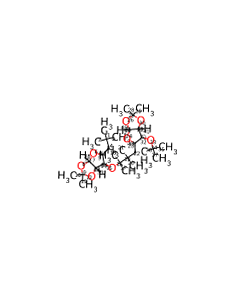 CC(C)(C)C[C@@H]1O[C@H]2OC(C)(C)O[C@H]2[C@@H]1OC(C)(C)C(C)(C)C[C@H]1O[C@@H]2OC(C)(C)O[C@@H]2[C@H]1OC(C)(C)C